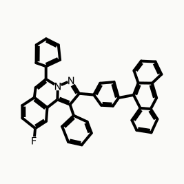 Fc1ccc2cc(-c3ccccc3)n3nc(-c4ccc(-c5c6ccccc6cc6ccccc56)cc4)c(-c4ccccc4)c3c2c1